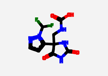 O=C(O)NCC1(c2ccnn2C(F)F)NC(=O)NC1=O